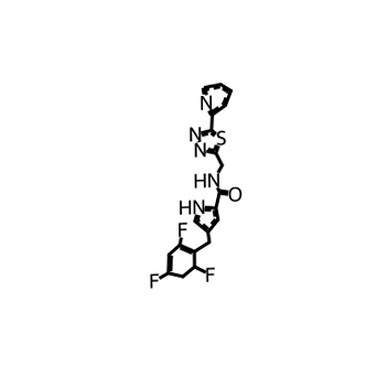 O=C(NCc1nnc(-c2ccccn2)s1)c1cc(CC2=C(F)C=C(F)CC2F)c[nH]1